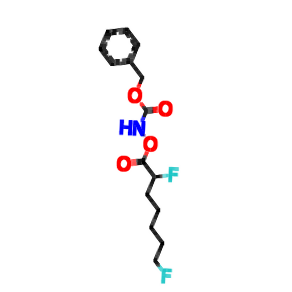 O=C(NOC(=O)C(F)CCCCCF)OCc1ccccc1